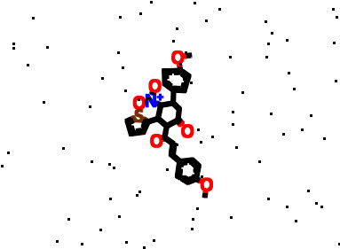 COc1ccc(C=CC(=O)C2C(=O)CC(c3ccc(OC)cc3)C([N+](=O)[O-])C2c2cccs2)cc1